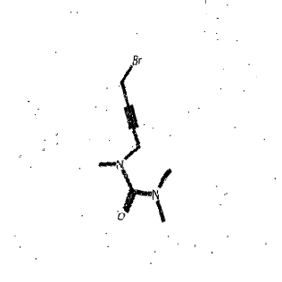 CN(C)C(=O)N(C)CC#CCBr